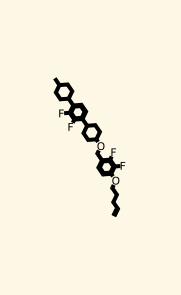 C=CCCCOc1ccc(COC2CCC(c3ccc(C4CCC(C)CC4)c(F)c3F)CC2)c(F)c1F